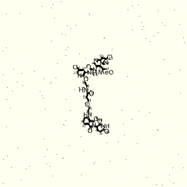 COC(C)c1c(NC(=O)Nc2cc(Cl)cnc2OCCNC(=O)CCOCCNc2cccc3c2C(=O)N(C2CCC(=O)NC2=O)C3=O)cnc2cc(Cl)nn12